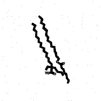 CCCCCCCCCCCCCCCCC(CC)(CCCC)C(=O)O.CCCCCCCCCCCCCCCCOC(=O)CCCCCCC